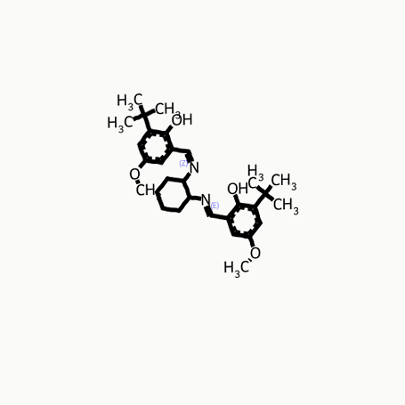 COc1cc(/C=N\C2CCCCC2/N=C/c2cc(OC)cc(C(C)(C)C)c2O)c(O)c(C(C)(C)C)c1